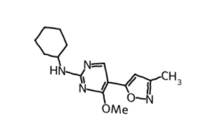 COc1nc(NC2CCCCC2)ncc1-c1cc(C)no1